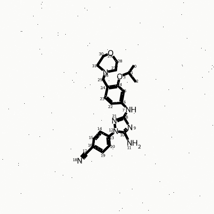 CC(C)Oc1cc(Nc2nc(N)n(-c3ccc(C#N)cc3)n2)ccc1CN1CCOCC1